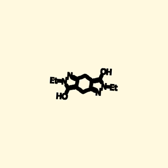 CCn1nc2c(c1O)Cc1nn(CC)c(O)c1C2